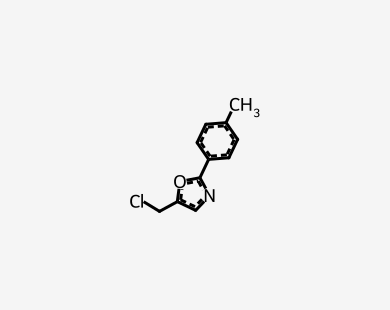 Cc1ccc(-c2ncc(CCl)o2)cc1